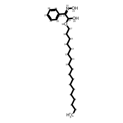 CCCCCCCCCCCCCCCCCCOC(O)C(=NO)c1ccccc1